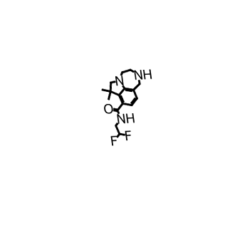 CC1(C)CN2CCNCc3ccc(C(=O)NCC(F)F)c1c32